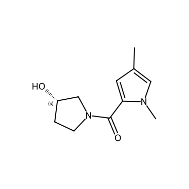 Cc1cc(C(=O)N2CC[C@H](O)C2)n(C)c1